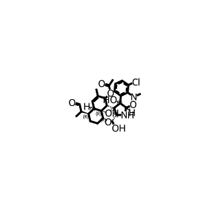 CC(=O)OC1C(C)=C[C@@H]2[C@H](C(C)C=O)CC[C@@H](C)[C@]2(O)C1[C@H]1[C@@H](C(=O)O)N[C@@H]2ON(C)c3c(Cl)cccc3[C@@]21O